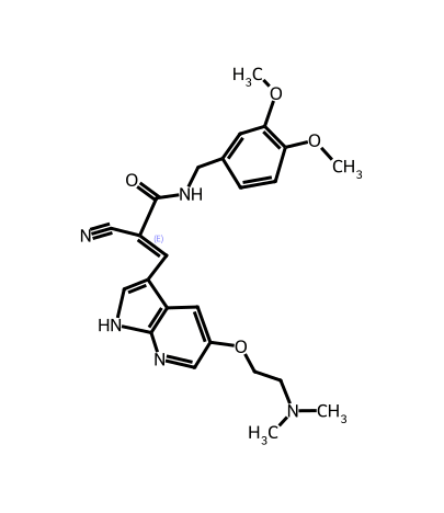 COc1ccc(CNC(=O)/C(C#N)=C/c2c[nH]c3ncc(OCCN(C)C)cc23)cc1OC